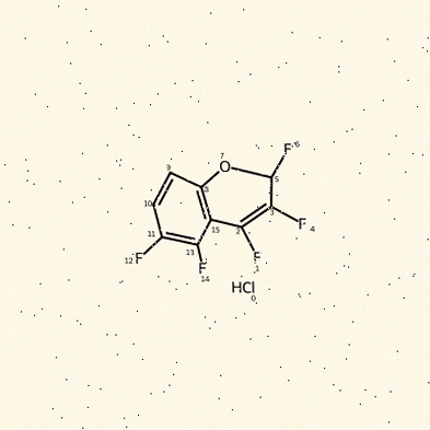 Cl.FC1=C(F)C(F)Oc2ccc(F)c(F)c21